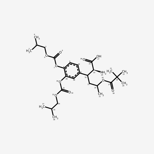 CC(C)COC(=O)Oc1ccc(C(CC(C)OC(=O)C(C)(C)C)[C@H](N)C(=O)O)cc1OC(=O)OCC(C)C